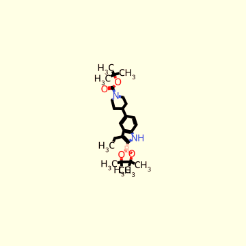 CCc1c(B2OC(C)(C)C(C)(C)O2)[nH]c2ccc(C3CCN(C(=O)OC(C)(C)C)CC3)cc12